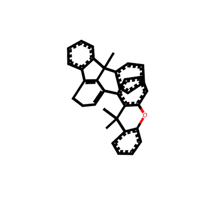 CC1(C)c2ccccc2Oc2cccc(C3=CCCC4=C3C(C)(c3ccccc3)c3ccccc34)c21